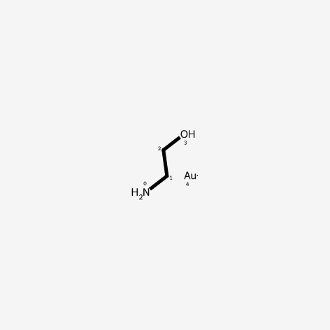 NCCO.[Au]